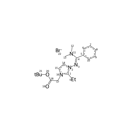 CCc1n(N=C(c2ccccc2)N(C)C)cc[n+]1CC(=O)OC(C)(C)C.[Br-]